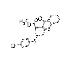 COC(=O)c1cc(Sc2ccc(Cl)cc2)cc2sc3ccccc3c(=O)c12